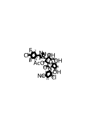 CC(=O)O[C@@H]1[C@@H](n2cc(-c3cc(F)c(Cl)c(F)c3)nn2)[C@@H](O)[C@@H](CO)O[C@H]1C(=O)N(c1cc(Cl)cc(C#N)c1)[C@H]1CCC[C@@H]1O